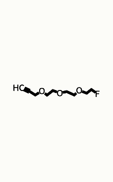 C#CCOCCOCCOCCF